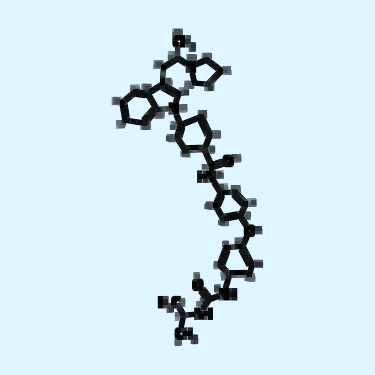 CC(C)NC(=O)Nc1ccc(Oc2ccc(NC(=O)c3ccc(-n4cc(CC(C)N5CCCC5)c5ccccc54)cc3)cc2)cc1